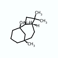 CC(=O)O[C@@]12CCC[C@@](C)(CC[C@@H]3[C@@H]1CC3(C)C)C2